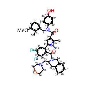 COc1cccc(CN(C(=O)c2cc(-c3cc(F)c(F)cc3C(=O)N3Cc4ccccc4C[C@H]3CN3CCOCC3)n(C)c2C)c2ccc(O)cc2)c1C